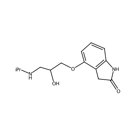 CC(C)NCC(O)COc1cccc2c1CC(=O)N2